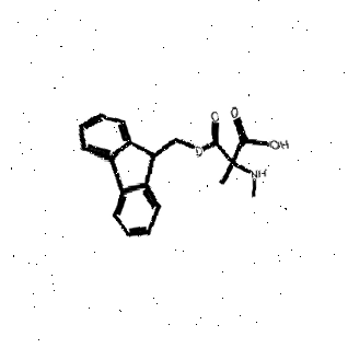 CNC(C)(C(=O)O)C(=O)OCC1c2ccccc2-c2ccccc21